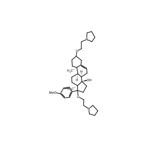 COc1ccc(C2(OCCN3CCCC3)CC[C@@]3(O)[C@@H]4CC=C5CC(OCCN6CCCC6)CC[C@]5(C)[C@@H]4CC[C@]23C)cc1